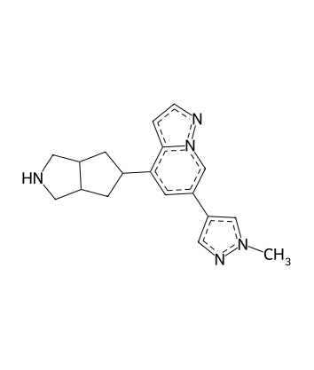 Cn1cc(-c2cc(C3CC4CNCC4C3)c3ccnn3c2)cn1